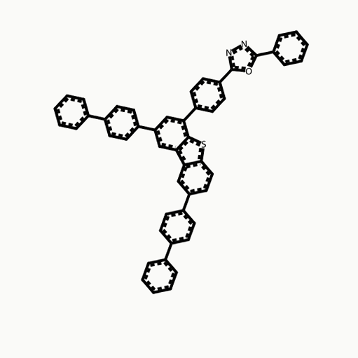 c1ccc(-c2ccc(-c3ccc4sc5c(-c6ccc(-c7nnc(-c8ccccc8)o7)cc6)cc(-c6ccc(-c7ccccc7)cc6)cc5c4c3)cc2)cc1